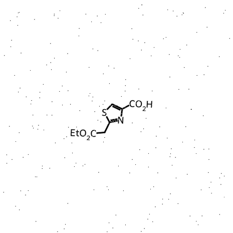 CCOC(=O)Cc1nc(C(=O)O)cs1